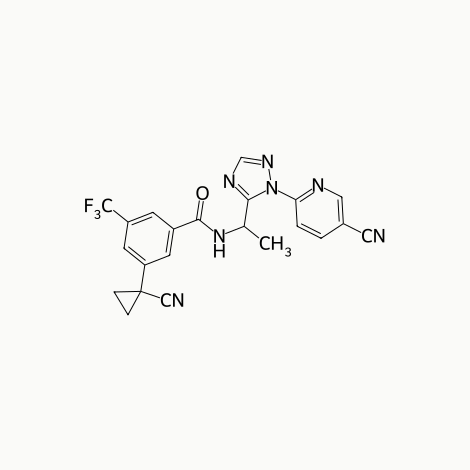 CC(NC(=O)c1cc(C(F)(F)F)cc(C2(C#N)CC2)c1)c1ncnn1-c1ccc(C#N)cn1